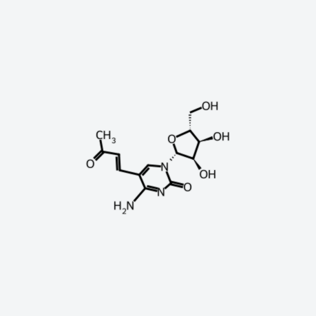 CC(=O)C=Cc1cn([C@@H]2O[C@H](CO)[C@@H](O)[C@H]2O)c(=O)nc1N